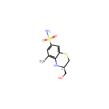 NS(=O)(=O)c1cc2c(c([N+](=O)[O-])c1)N[C@H](CO)CS2